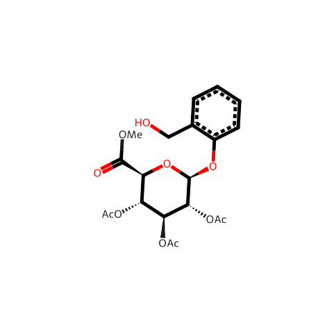 COC(=O)[C@H]1O[C@@H](Oc2ccccc2CO)[C@H](OC(C)=O)[C@@H](OC(C)=O)[C@@H]1OC(C)=O